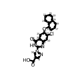 O=C(O)c1cnn(-c2nc3cc(Cl)c(Oc4cccc5ccccc45)cc3c(=O)[nH]2)c1